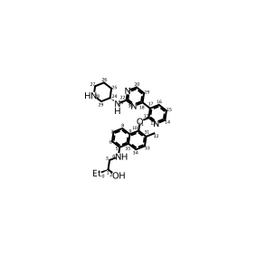 CC[C@H](O)CNc1cccc2c(Oc3ncccc3-c3ccnc(N[C@H]4CCCNC4)n3)c(C)ccc12